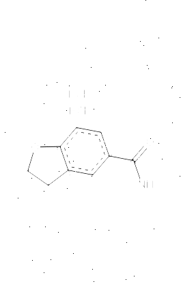 Cl.Cl.NC(=O)c1ccc2c(c1)CCO2